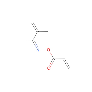 C=CC(=O)O/N=C(/C)C(=C)C